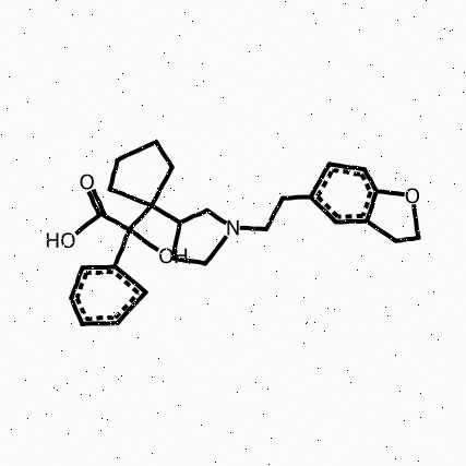 O=C(O)C(O)(c1ccccc1)C1(C2CCN(CCc3ccc4c(c3)CCO4)C2)CCCC1